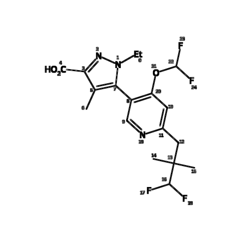 CCn1nc(C(=O)O)c(C)c1-c1cnc(CC(C)(C)C(F)F)cc1OC(F)F